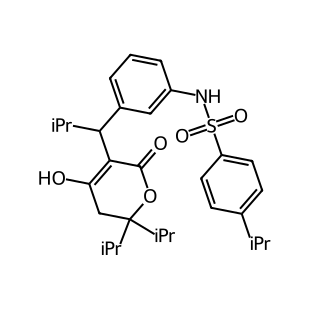 CC(C)c1ccc(S(=O)(=O)Nc2cccc(C(C3=C(O)CC(C(C)C)(C(C)C)OC3=O)C(C)C)c2)cc1